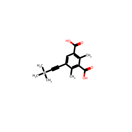 Cc1c(C#C[Si](C)(C)C)cc(C(=O)O)c(C)c1C(=O)O